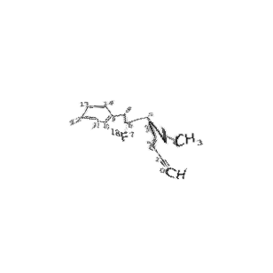 C#CCN(C)C[C@H]([18F])Cc1ccccc1